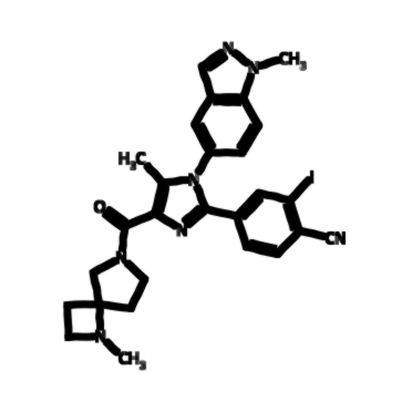 Cc1c(C(=O)N2CCC3(CCN3C)C2)nc(-c2ccc(C#N)c(I)c2)n1-c1ccc2c(cnn2C)c1